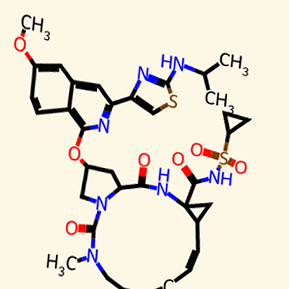 COc1ccc2c(OC3CC4C(=O)NC5(C(=O)NS(=O)(=O)C6CC6)CC5C=CCCCCN(C)C(=O)N4C3)nc(-c3csc(NC(C)C)n3)cc2c1